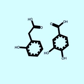 O=C(O)Cc1ccccc1O.O=C(O)c1ccc(O)c(O)c1